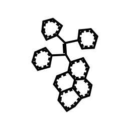 c1ccc(C(=C(c2ccccc2)c2ccc3ccc4cccc5ccc2c3c45)c2ccccc2)cc1